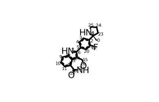 C[C@]1(c2ccc(-c3[nH]c4cccc5c4c3CONC5=O)cc2F)CCCN1